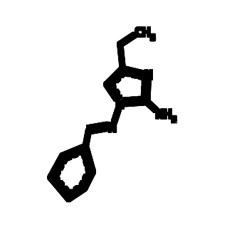 CCc1cn(/N=C/c2ccccc2)c(N)n1